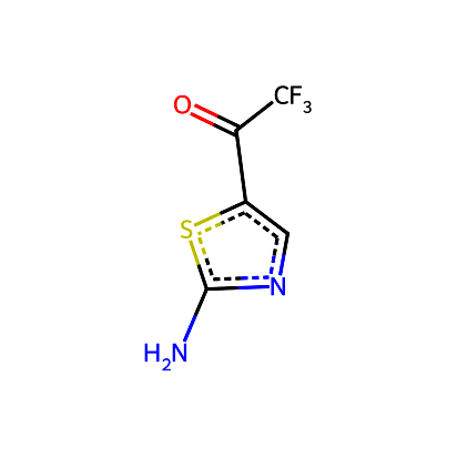 Nc1ncc(C(=O)C(F)(F)F)s1